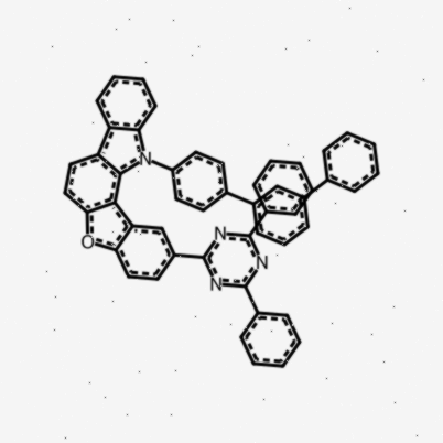 c1ccc(-c2cccc(-c3ccc(-n4c5ccccc5c5ccc6oc7ccc(-c8nc(-c9ccccc9)nc(-c9ccccc9)n8)cc7c6c54)cc3)c2)cc1